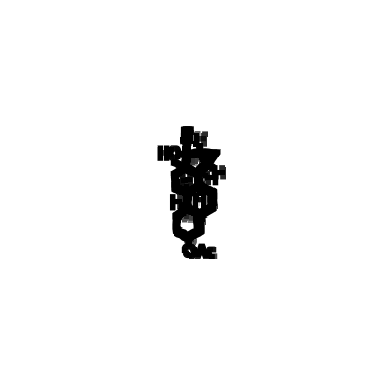 C#C[C@]1(O)[C@@H]2C[C@@H]2[C@H]2[C@@H]3CCC4=C[C@@H](OC(C)=O)CC[C@@H]4[C@H]3CC[C@@]21C